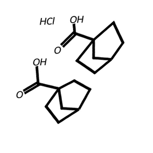 Cl.O=C(O)C12CCC(CC1)C2.O=C(O)C12CCC(CC1)C2